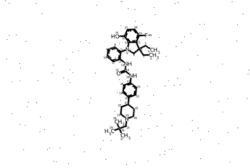 CCC1(CC)CN(c2ccccc2NC(=O)Nc2ccc(C3CCN(CC(C)(C)C)CC3)cc2)c2c(O)ccc(F)c21